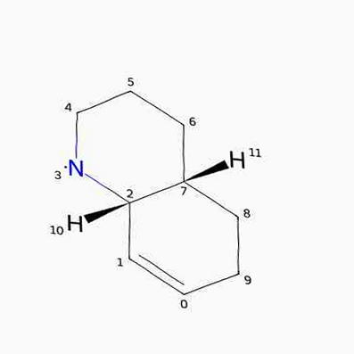 C1=C[C@@H]2[N]CCC[C@@H]2CC1